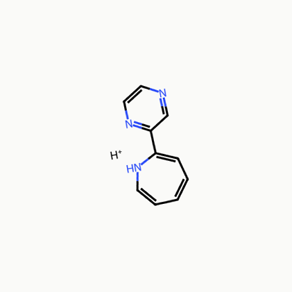 C1=CC=C(c2cnccn2)NC=C1.[H+]